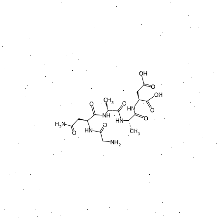 C[C@H](NC(=O)[C@H](C)NC(=O)[C@H](CC(N)=O)NC(=O)CN)C(=O)N[C@@H](CC(=O)O)C(=O)O